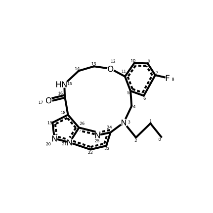 CCCN1Cc2cc(F)ccc2OCCNC(=O)c2cnn3ccc1nc23